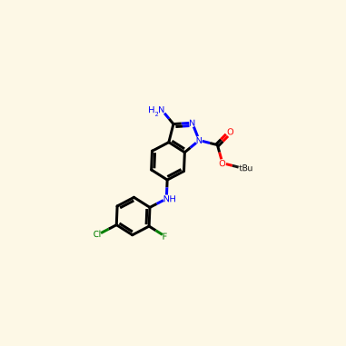 CC(C)(C)OC(=O)n1nc(N)c2ccc(Nc3ccc(Cl)cc3F)cc21